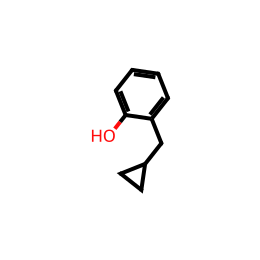 Oc1ccccc1CC1CC1